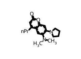 CCCc1cc(=O)oc2cc(N3CCCC3)c(N(C)C)cc12